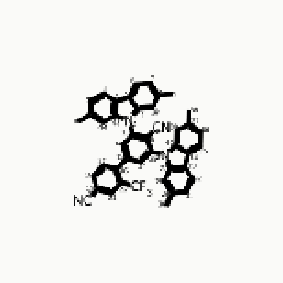 Cc1ccc2c3ccc(C)cc3n(-c3cc(-c4ccc(C#N)cc4C(F)(F)F)cc(-n4c5cc(C)ccc5c5ccc(C)cc54)c3C#N)c2c1